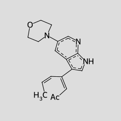 C/C=C\C(=C/C(C)=O)c1c[nH]c2ncc(N3CCOCC3)cc12